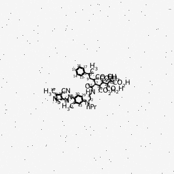 CCCN(CCNC(=O)C(C(CC(C)c1ccccc1)C(=O)O)C(C(=O)O)C(C(=O)O)C(C(=O)O)C(C)C(=O)O)c1ccc(/N=N/c2snc(C)c2C#N)c(C)c1